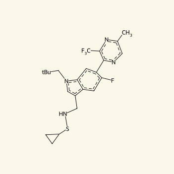 Cc1cnc(-c2cc3c(cc2F)c(CNSC2CC2)cn3CC(C)(C)C)c(C(F)(F)F)n1